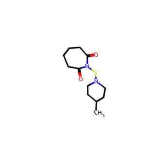 CC1CCN(SN2C(=O)CCCCC2=O)CC1